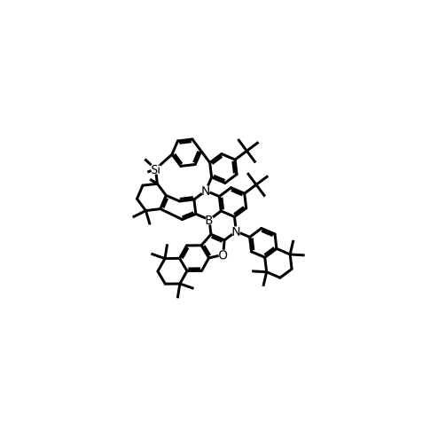 CC(C)(C)c1ccc2c(c1)-c1ccc(cc1)[Si](C)(C)C1(C)CCC(C)(C)c3cc4c(cc31)N2c1cc(C(C)(C)C)cc2c1B4c1c(oc3cc4c(cc13)C(C)(C)CCC4(C)C)N2c1ccc2c(c1)C(C)(C)CCC2(C)C